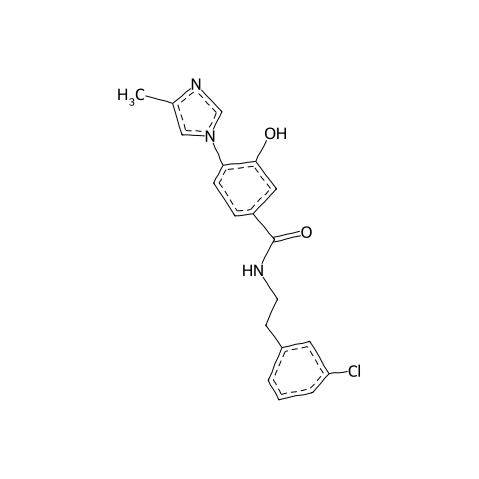 Cc1cn(-c2ccc(C(=O)NCCc3cccc(Cl)c3)cc2O)cn1